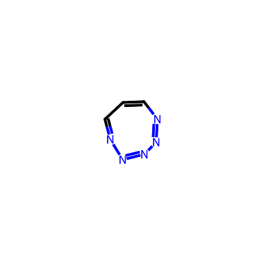 C1=CN=NN=NN=C1